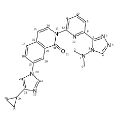 CN(C)n1cnnc1-c1cccc(-n2ccc3ccc(-n4cnc(C5CC5)c4)cc3c2=O)n1